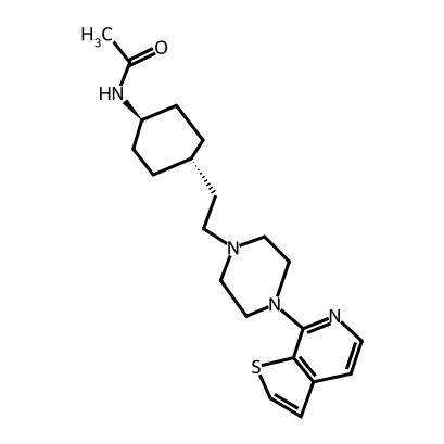 CC(=O)N[C@H]1CC[C@H](CCN2CCN(c3nccc4ccsc34)CC2)CC1